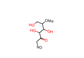 COC(CO)C(O)C(O)C(=O)CN=O